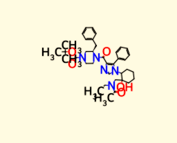 CCN(CC1(O)CCCCC1n1cnc(C(=O)N2CCN(C(=O)OC(C)(C)C)C[C@H]2Cc2ccccc2)c1-c1ccccc1)C(C)=O